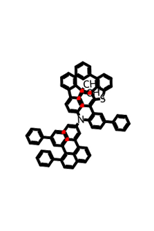 CC1(C)c2ccccc2-c2ccc(N(c3cccc(-c4cccc5ccc(-c6ccccc6)c(-c6cccc(-c7ccccc7)c6)c45)c3)c3ccc(-c4ccccc4)cc3-c3cccc4c3sc3cccc(-c5ccccc5)c34)cc21